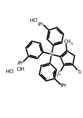 CC1=C([Si](c2cccc(C(C)C)c2)(c2cccc(C(C)C)c2)c2cccc(C(C)C)c2)C(C)=[C]([Ti])C1.Cl.Cl.Cl